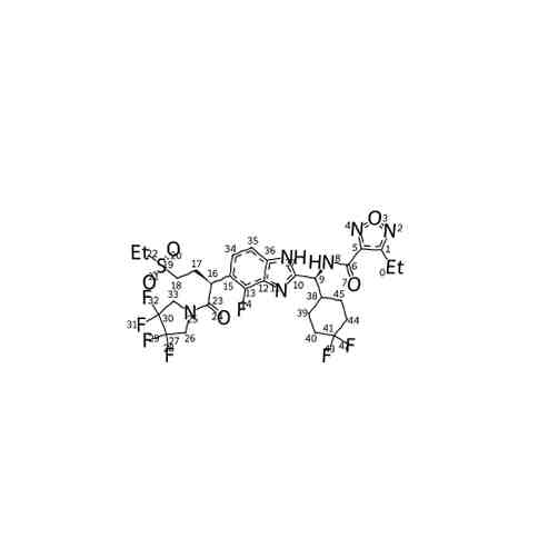 CCc1nonc1C(=O)N[C@H](c1nc2c(F)c([C@H](CCS(=O)(=O)CC)C(=O)N3CC(F)(F)C(F)(F)C3)ccc2[nH]1)C1CCC(F)(F)CC1